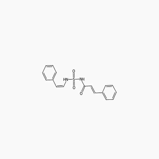 O=C(/C=C/c1ccccc1)NS(=O)(=O)N/C=C\c1ccccc1